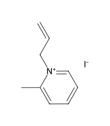 C=CC[n+]1ccccc1C.[I-]